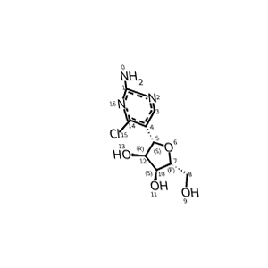 Nc1ncc([C@@H]2O[C@H](CO)[C@@H](O)[C@H]2O)c(Cl)n1